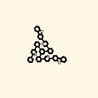 c1ccc(-c2ccc(-c3ccccc3-c3cc(-c4ccccc4-c4ccc(-c5ccc6c(c5)oc5ccccc56)nc4)cc(-c4ccccc4-c4ccc(-c5ccc6c(c5)oc5ccccc56)nc4)c3)cn2)cc1